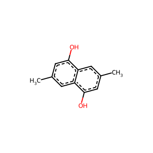 Cc1cc(O)c2cc(C)cc(O)c2c1